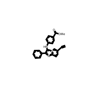 C#Cc1ccc2nc(-c3ccccc3)c(Nc3ccc(C(=O)OC)cc3)n2c1